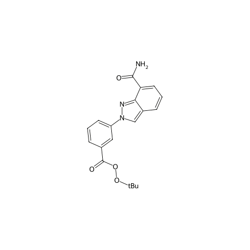 CC(C)(C)OOC(=O)c1cccc(-n2cc3cccc(C(N)=O)c3n2)c1